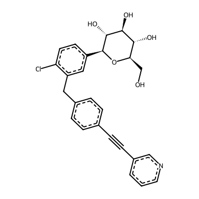 OC[C@H]1O[C@@H](c2ccc(Cl)c(Cc3ccc(C#Cc4cccnc4)cc3)c2)[C@H](O)[C@@H](O)[C@@H]1O